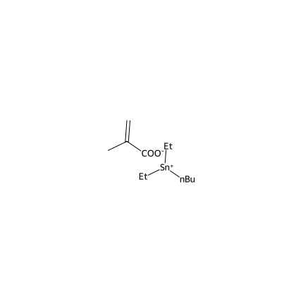 C=C(C)C(=O)[O-].CCC[CH2][Sn+]([CH2]C)[CH2]C